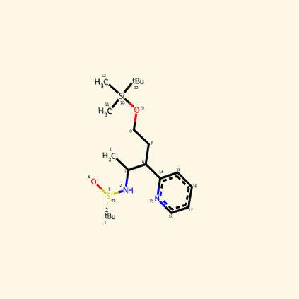 CC(N[S@@+]([O-])C(C)(C)C)C(CCO[Si](C)(C)C(C)(C)C)c1ccccn1